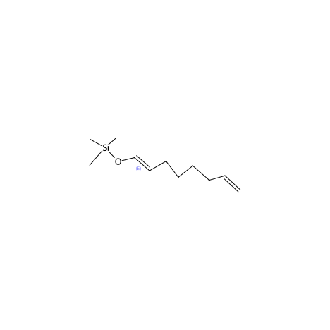 C=CCCCC/C=C/O[Si](C)(C)C